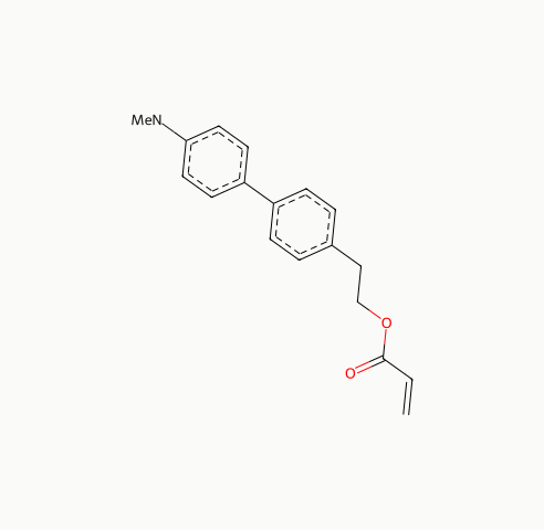 C=CC(=O)OCCc1ccc(-c2ccc(NC)cc2)cc1